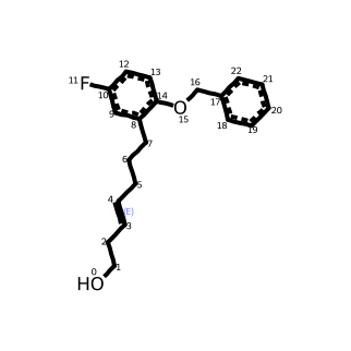 OCC/C=C/CCCc1cc(F)ccc1OCc1ccccc1